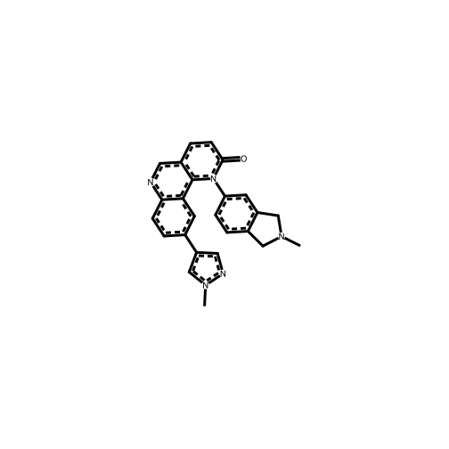 CN1Cc2ccc(-n3c(=O)ccc4cnc5ccc(-c6cnn(C)c6)cc5c43)cc2C1